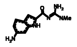 CNC(N)=NC(=O)c1cc2ccc(N)cc2[nH]1